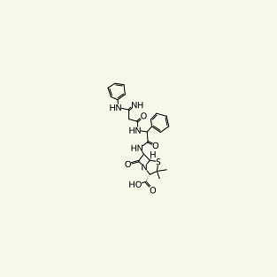 CC1(C)S[C@@H]2C(NC(=O)C(NC(=O)CC(=N)Nc3ccccc3)c3ccccc3)C(=O)N2[C@H]1C(=O)O